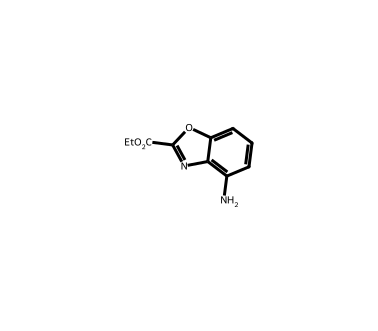 CCOC(=O)c1nc2c(N)cccc2o1